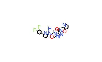 Cc1nc2c(c(=O)n(Cc3ccccn3)c(=O)n2C)n1[C@@H](C)C(=O)Nc1cccc(-c2ccc(F)c(F)c2)n1